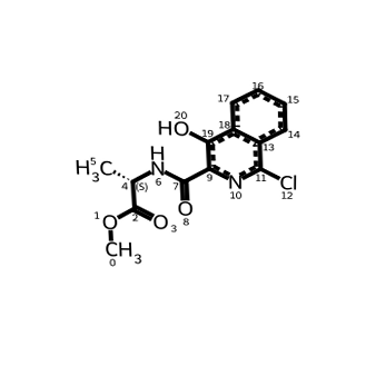 COC(=O)[C@H](C)NC(=O)c1nc(Cl)c2ccccc2c1O